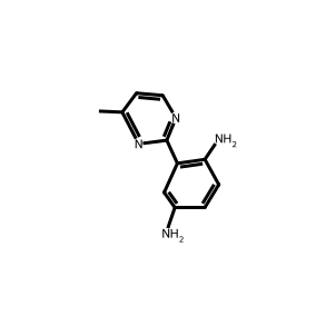 Cc1ccnc(-c2cc(N)ccc2N)n1